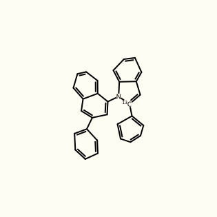 c1ccc(-c2cc(-n3c4ccccc4c[13c]3-c3ccccc3)c3ccccc3c2)cc1